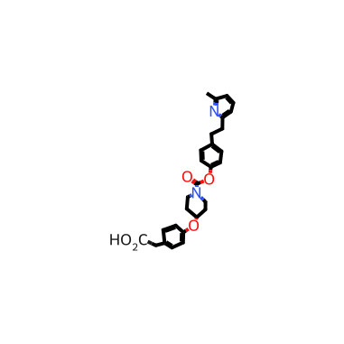 Cc1cccc(CCc2ccc(OC(=O)N3CCC(Oc4ccc(CC(=O)O)cc4)CC3)cc2)n1